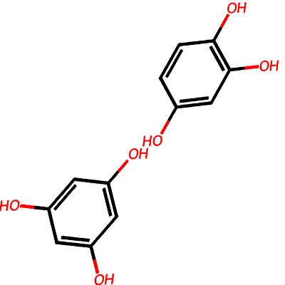 Oc1cc(O)cc(O)c1.Oc1ccc(O)c(O)c1